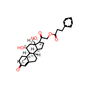 C[C@]12CCC(=O)C=C1CC[C@@H]1[C@@H]2[C@@H](O)C[C@@]2(C)[C@H]1CC[C@]2(O)C(=O)COC(=O)CCc1ccccc1